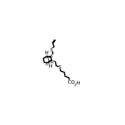 C=CCSC[C@H]1[C@@H](CCSCCCCC(=O)O)[C@H]2CC[C@@H]1O2